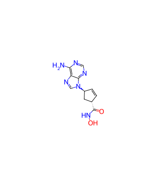 Nc1ncnc2c1ncn2[C@H]1C=C[C@H](C(=O)NO)C1